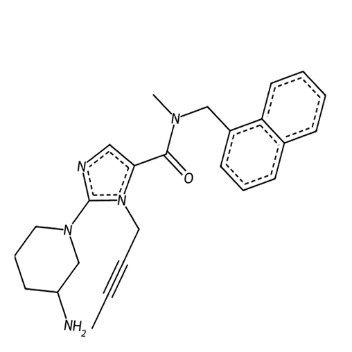 CC#CCn1c(C(=O)N(C)Cc2cccc3ccccc23)cnc1N1CCCC(N)C1